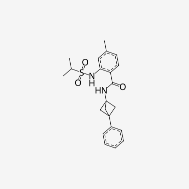 Cc1ccc(C(=O)NC23CC(c4ccccc4)(C2)C3)c(NS(=O)(=O)C(C)C)c1